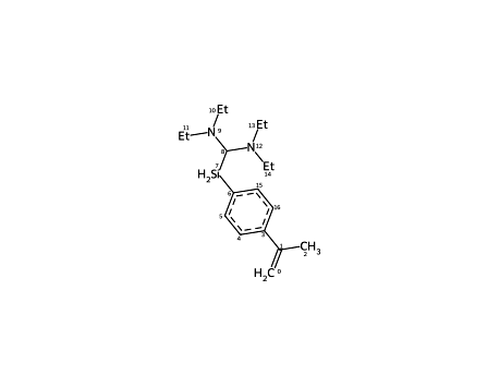 C=C(C)c1ccc([SiH2]C(N(CC)CC)N(CC)CC)cc1